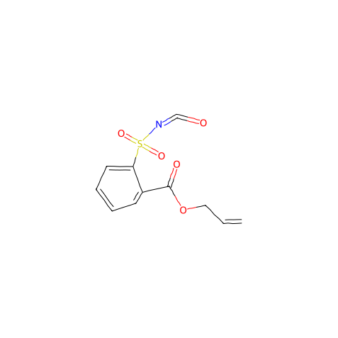 C=CCOC(=O)c1ccccc1S(=O)(=O)N=C=O